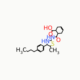 CCCCc1ccc(C2NC(NC(=O)C3CC=CCC3C(=O)O)SC2C)cc1